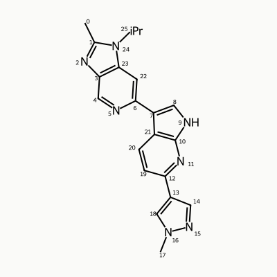 Cc1nc2cnc(-c3c[nH]c4nc(-c5cnn(C)c5)ccc34)cc2n1C(C)C